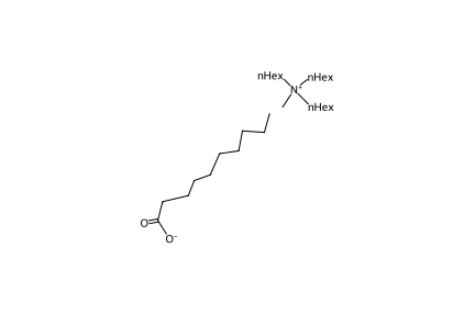 CCCCCCCCCC(=O)[O-].CCCCCC[N+](C)(CCCCCC)CCCCCC